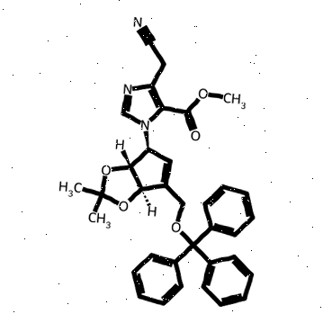 COC(=O)c1c(CC#N)ncn1[C@H]1C=C(COC(c2ccccc2)(c2ccccc2)c2ccccc2)[C@H]2OC(C)(C)O[C@@H]21